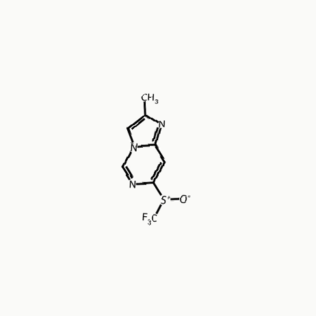 Cc1cn2cnc([S+]([O-])C(F)(F)F)cc2n1